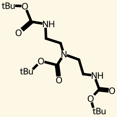 CC(C)(C)OC(=O)NCCN(CCNC(=O)OC(C)(C)C)C(=O)OC(C)(C)C